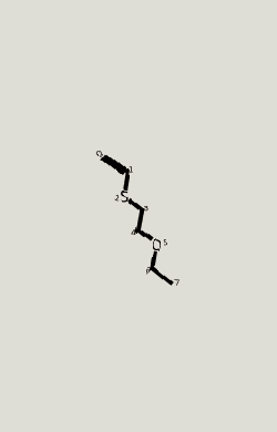 C=CSCCOCC